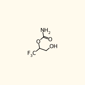 NC(=O)OC(CO)C(F)(F)F